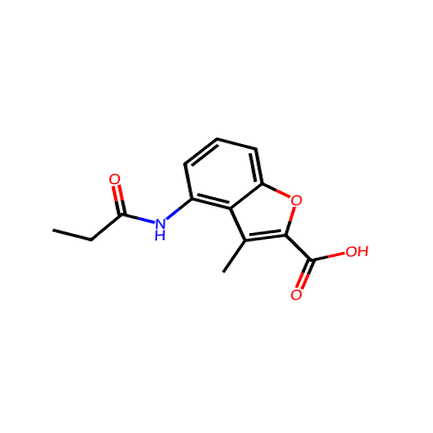 CCC(=O)Nc1cccc2oc(C(=O)O)c(C)c12